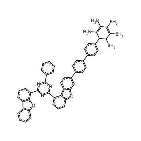 BC1=C(B)C(B)C(c2ccc(-c3ccc(-c4ccc5c(c4)oc4cccc(-c6nc(-c7ccccc7)nc(-c7cccc8c7oc7ccccc78)n6)c45)cc3)cc2)C(B)=C1B